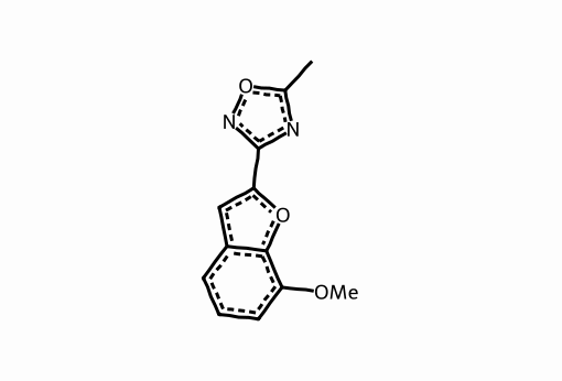 COc1cccc2cc(-c3noc(C)n3)oc12